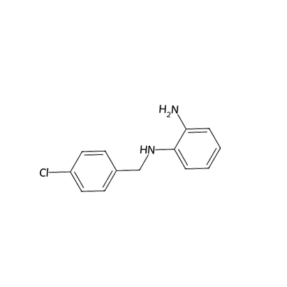 Nc1ccccc1NCc1ccc(Cl)cc1